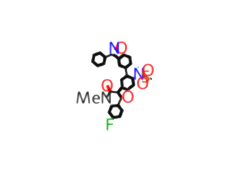 CNC(=O)c1c(-c2ccc(F)cc2)oc2cc(N(C)S(C)(=O)=O)c(-c3ccc4onc(-c5ccccc5)c4c3)cc12